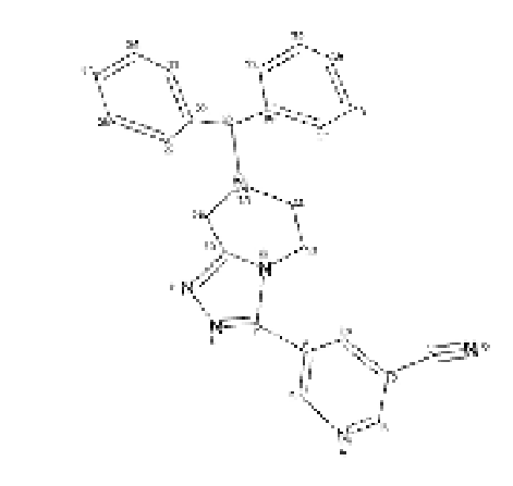 N#Cc1cncc(-c2nnc3n2CCN(C(c2ccccc2)c2ccccc2)C3)c1